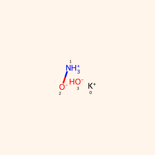 [K+].[NH3+][O-].[OH-]